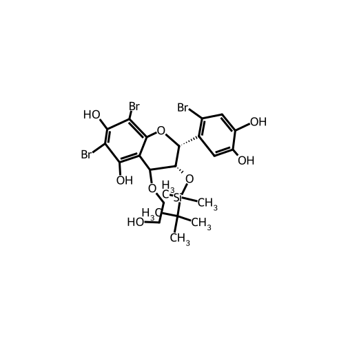 CC(C)(C)[Si](C)(C)O[C@@H]1C(OCCO)c2c(O)c(Br)c(O)c(Br)c2O[C@@H]1c1cc(O)c(O)cc1Br